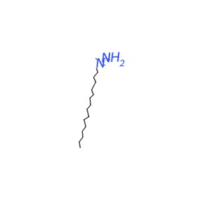 CCCCCCCCCCCCCCCC[N+](C)(C)N